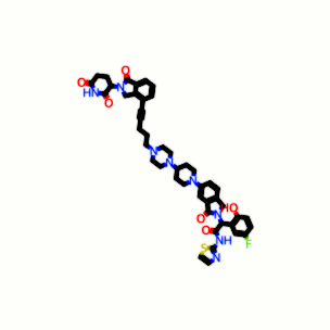 O=C1CCC(N2Cc3c(C#CCCCN4CCN(C5CCN(c6ccc7c(c6)C(=O)N(C(C(=O)Nc6nccs6)c6cc(F)ccc6O)C7)CC5)CC4)cccc3C2=O)C(=O)N1